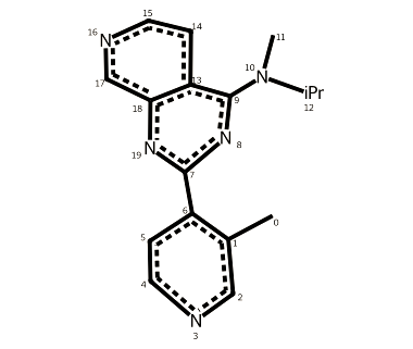 Cc1cnccc1-c1nc(N(C)C(C)C)c2ccncc2n1